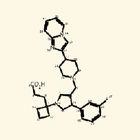 O=C(O)CCC1(N2CC(CN3CCC(c4cn5ccccc5n4)CC3)C(c3cccc(F)c3)C2)CCC1